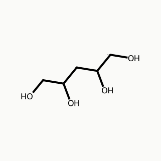 O[CH]C(O)CC(O)CO